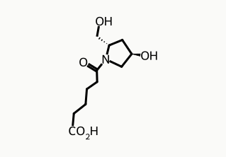 O=C(O)CCCCC(=O)N1C[C@H](O)C[C@H]1CO